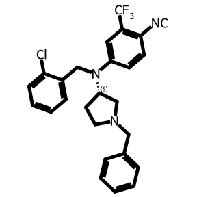 [C-]#[N+]c1ccc(N(Cc2ccccc2Cl)[C@H]2CCN(Cc3ccccc3)C2)cc1C(F)(F)F